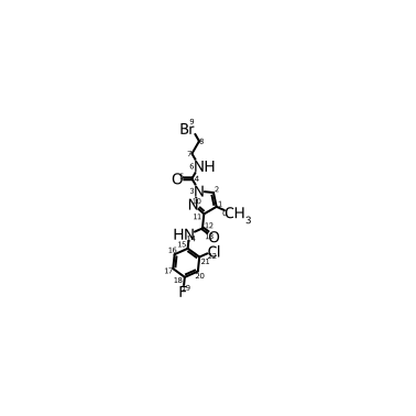 Cc1cn(C(=O)NCCBr)nc1C(=O)Nc1ccc(F)cc1Cl